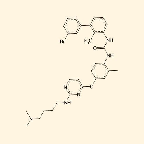 Cc1cc(Oc2ccnc(NCCCCN(C)C)n2)ccc1NC(=O)Nc1cccc(-c2cccc(Br)c2)c1C(F)(F)F